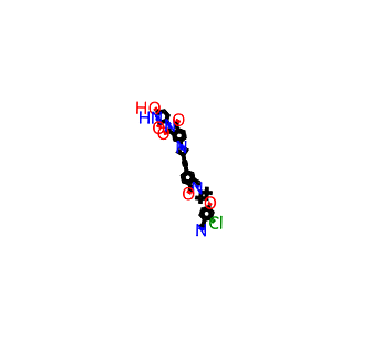 CC1(C)[C@H](Oc2ccc(C#N)c(Cl)c2)C(C)(C)[C@H]1N1Cc2cc(C#CC3CN(c4ccc5c(c4)C(=O)N(C4CCC(O)NC4=O)C5=O)C3)ccc2C1=O